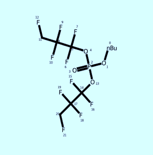 CCCCOP(=O)(OC(F)(F)C(F)(F)CF)OC(F)(F)C(F)(F)CF